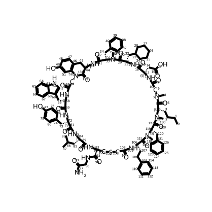 CCCC[C@H]1C(=O)N(C)CC(=O)N[C@@H](CC(=O)O)C(=O)N[C@@H](CC2CCCCC2)C(=O)N(C)[C@@H](Cc2ccccc2)C(=O)N[C@H]2Cc3ccc(O)cc3N(CC(=O)N[C@@H](Cc3c[nH]c4ccccc34)C(=O)N[C@@H](Cc3ccc(O)cc3)C(=O)N[C@@H](CC(C)C)C(=O)N[C@H](C(=O)NCC(N)=O)CSCC(=O)N[C@@H](CCc3ccccc3)C(=O)N(C)[C@@H](Cc3ccccc3)C(=O)N1C)C2=O